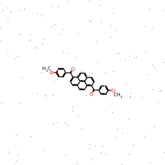 COc1ccc(C(=O)c2ccc3ccc4c(C(=O)c5ccc(OC)cc5)ccc5ccc2c3c54)cc1